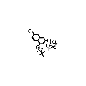 CC(C)(C)[Si](C)(C)Oc1cc(OS(=O)(=O)C(F)(F)F)cc2cc(Cl)ccc12